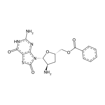 Nc1nc2c(sc(=O)n2[C@@H]2O[C@H](COC(=O)c3ccccc3)C[C@H]2N)c(=O)[nH]1